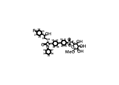 CO[C@@H]1OC(CS(=O)(=O)c2ccc(-c3ccc([C@@H]4[C@@H](CC[C@H](O)c5ccc(F)cc5)C(=O)N4c4ccccc4)cc3)cc2)[C@H](O)[C@@H](O)[C@@H]1O